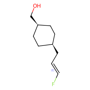 OC[C@H]1CC[C@@H](C/C=C/F)CC1